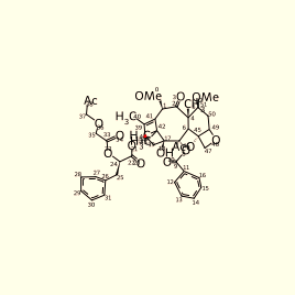 CO[C@H]1C(=O)[C@@]2(C)C([C@H](OC(=O)c3ccccc3)[C@]3(O)C[C@H](OC(=O)[C@@H](Cc4ccccc4)OC(=O)COCC(C)=O)C(C)=C1C3(C)C)[C@]1(OC(C)=O)COC1C[C@@H]2OC